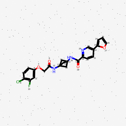 O=C(COc1ccc(Cl)c(F)c1)NC12CC(NC(=O)c3ccc(-c4ccco4)cn3)(C1)C2